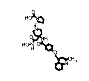 Cc1cc(COc2ccc(C(=O)NC3(CC(=O)NO)CCN(C[C@H]4CCCN4C(=O)O)CC3)cc2)c2ccccc2n1